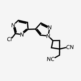 N#CCC1(C#N)CC(n2cc(-c3ccnc(Cl)n3)cn2)C1